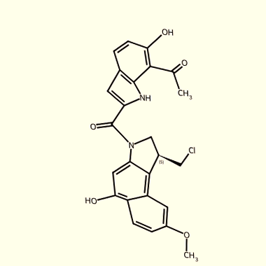 COc1ccc2c(O)cc3c(c2c1)[C@H](CCl)CN3C(=O)c1cc2ccc(O)c(C(C)=O)c2[nH]1